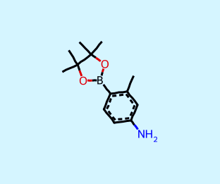 Cc1cc(N)ccc1B1OC(C)(C)C(C)(C)O1